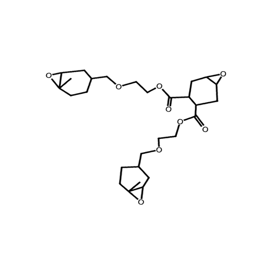 CC12CCC(COCCOC(=O)C3CC4OC4CC3C(=O)OCCOCC3CCC4(C)OC4C3)CC1O2